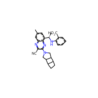 Cc1cc([C@@H](C)Nc2ccccc2C(=O)O)c2nc(N3CC4C5CCC5C4C3)c(C#N)nc2c1